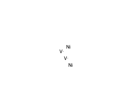 [Ni].[Ni].[V].[V]